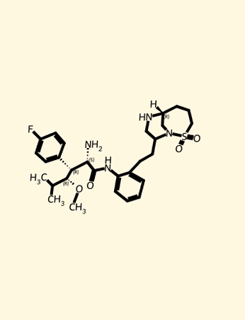 CO[C@H](C(C)C)[C@H](c1ccc(F)cc1)[C@H](N)C(=O)Nc1ccccc1CCC1CN[C@@H]2CCCS(=O)(=O)N1C2